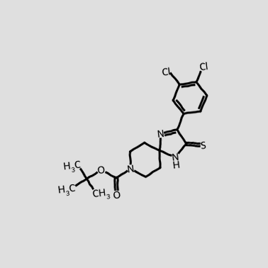 CC(C)(C)OC(=O)N1CCC2(CC1)N=C(c1ccc(Cl)c(Cl)c1)C(=S)N2